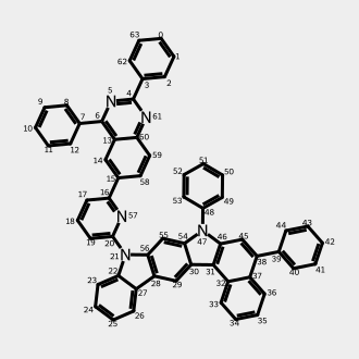 c1ccc(-c2nc(-c3ccccc3)c3cc(-c4cccc(-n5c6ccccc6c6cc7c8c9ccccc9c(-c9ccccc9)cc8n(-c8ccccc8)c7cc65)n4)ccc3n2)cc1